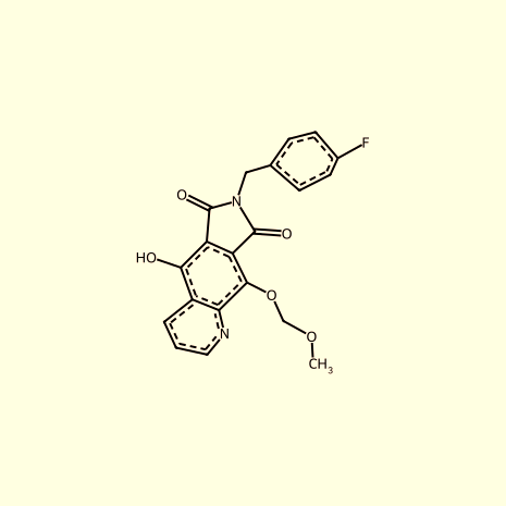 COCOc1c2c(c(O)c3cccnc13)C(=O)N(Cc1ccc(F)cc1)C2=O